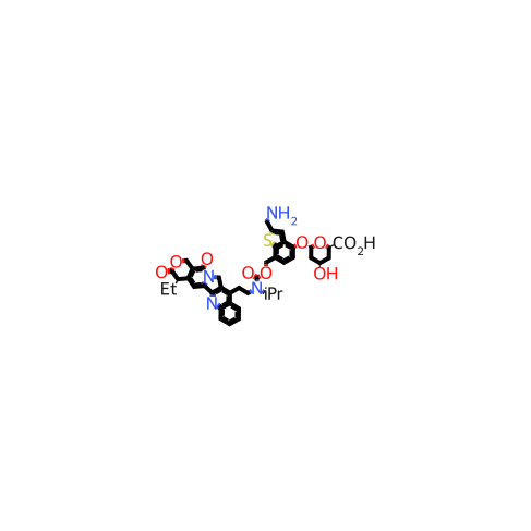 CC[C@@H]1C(=O)OCc2c1cc1n(c2=O)Cc2c-1nc1ccccc1c2CCN(C(=O)OCc1ccc(O[C@H]2C[C@@H](O)C[C@@H](C(=O)O)O2)c2cc(CN)sc12)C(C)C